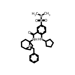 CN(C)S(=O)(=O)c1ccc(NC2CCCC2)c(C(=O)NC23CCCC(CC2)N3Cc2ccccc2)c1